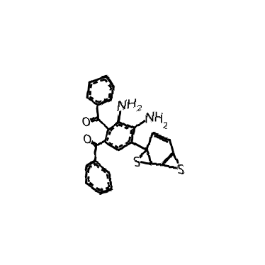 Nc1c(C23C=CC4SC4C2S3)cc(C(=O)c2ccccc2)c(C(=O)c2ccccc2)c1N